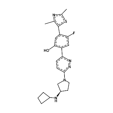 Cc1nc(C)c(-c2cc(O)c(-c3ccc(N4CC[C@@H](NC5CCC5)C4)nn3)cc2F)s1